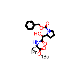 CC(C)C[C@H](NC(=O)C(O)C1CCCN1C(=O)OCc1ccccc1)C(=O)OC(C)(C)C